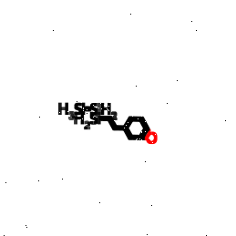 [SiH3][SiH2][SiH2]CCC1CCC2OC2C1